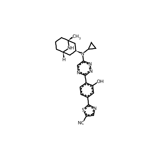 C[C@@]12CCC[C@@H](C[C@H](N(c3cnc(-c4ccc(-c5ncc(C#N)s5)cc4O)nn3)C3CC3)C1)N2